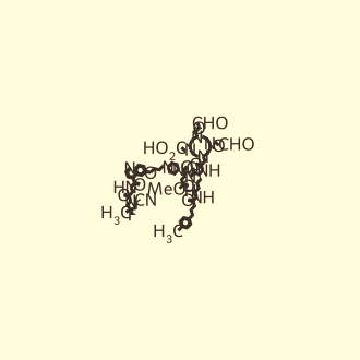 COC(=O)CC(NC(=O)[C@H](CCCCNC(=O)CCCc1ccc(C)cc1)NC(=O)CN1CCN(COC=O)CCN(COC=O)CCN(CC(=O)O)CC1)C(=O)N1CCN(CCCOc2ccc3nccc(C(=O)NCC(=O)N4CC(C)(F)C[C@@H]4C#N)c3c2)CC1